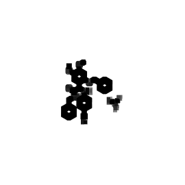 COc1cc(OCc2ccccc2)c(C(Nc2ccc(C#N)cc2)C(=O)NCc2ccccc2)cc1OC.FB(F)F